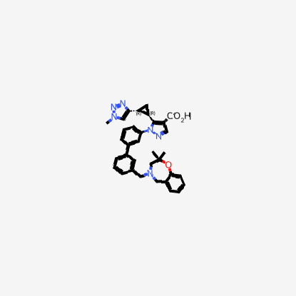 Cn1cc([C@@H]2C[C@H]2c2c(C(=O)O)cnn2-c2cccc(-c3cccc(CN4Cc5ccccc5OC(C)(C)C4)c3)c2)nn1